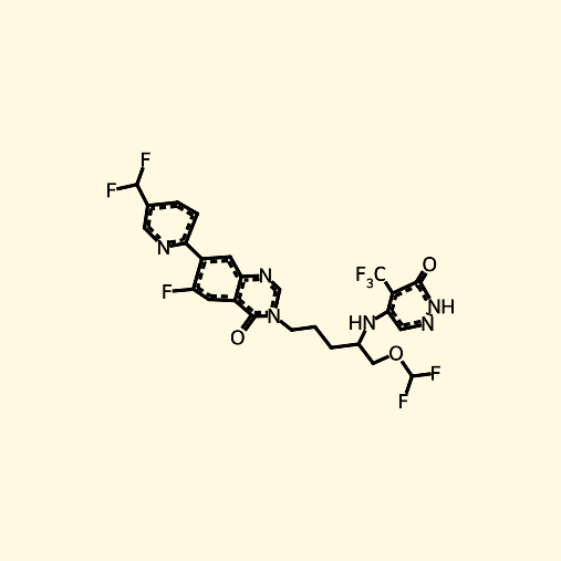 O=c1[nH]ncc(NC(CCCn2cnc3cc(-c4ccc(C(F)F)cn4)c(F)cc3c2=O)COC(F)F)c1C(F)(F)F